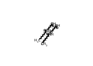 CCCCCCCCCC(=O)NCCCCCC(=O)O.CCCCCCCCCC(=O)NOOCCCCCC(=O)O